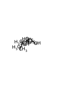 CC(C)=CCC(O)C(C)CCC[C@]1(C)OCC(=CCO)CC[C@H]1O